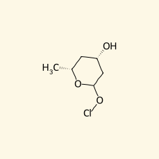 C[C@@H]1C[C@H](O)CC(OCl)O1